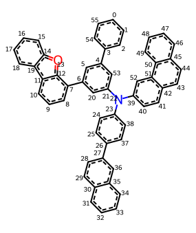 c1ccc(-c2cc(-c3cccc4c3oc3ccccc34)cc(N(c3ccc(-c4ccc5ccccc5c4)cc3)c3ccc4ccc5ccccc5c4c3)c2)cc1